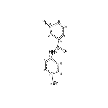 CC(C)c1ccc(NC(=O)c2cccc(I)c2)cc1